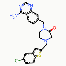 Nc1ncnc2cc(CN3CCN(Cc4cc5cc(Cl)ccc5s4)CC3=O)ccc12